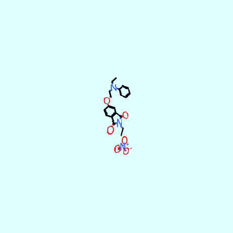 CCN(CCOc1ccc2c(c1)C(=O)N(CCO[N+](=O)[O-])C2=O)c1ccccc1